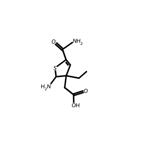 CCC1(CC(=O)O)C=C(C(N)=O)SC1N